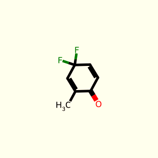 CC1=CC(F)(F)C=CC1=O